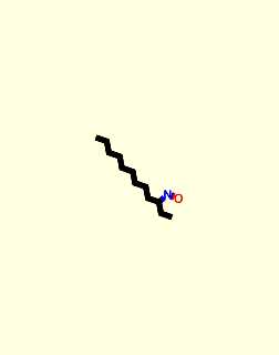 CCCCCCCCCC(CC)N=O